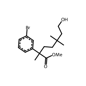 COC(=O)C(C)(CCC(C)(C)CCO)c1cccc(Br)c1